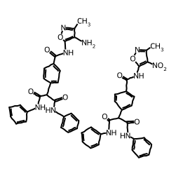 Cc1noc(NC(=O)c2ccc(C(C(=O)Nc3ccccc3)C(=O)Nc3ccccc3)cc2)c1N.Cc1noc(NC(=O)c2ccc(C(C(=O)Nc3ccccc3)C(=O)Nc3ccccc3)cc2)c1[N+](=O)[O-]